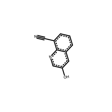 N#Cc1cccc2cc(O)cnc12